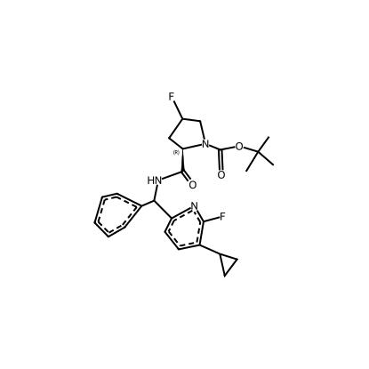 CC(C)(C)OC(=O)N1CC(F)C[C@@H]1C(=O)NC(c1ccccc1)c1ccc(C2CC2)c(F)n1